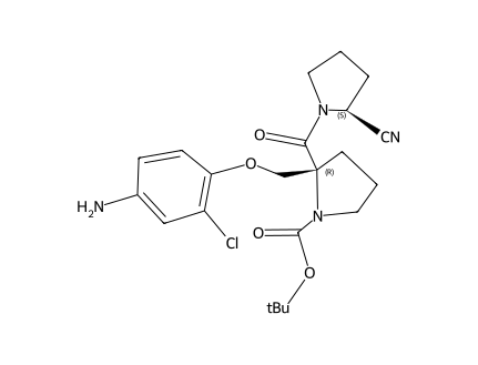 CC(C)(C)OC(=O)N1CCC[C@@]1(COc1ccc(N)cc1Cl)C(=O)N1CCC[C@H]1C#N